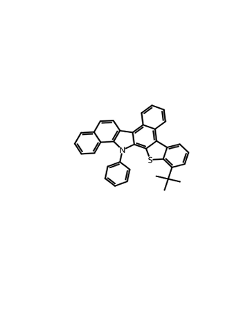 CC(C)(C)c1cccc2c1sc1c2c2ccccc2c2c3ccc4ccccc4c3n(-c3ccccc3)c12